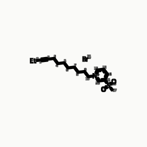 CCC#CCCCCCCCC[n+]1cccc(S(C)(=O)=O)c1.[Br-]